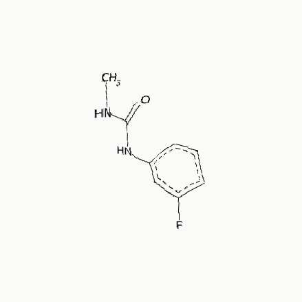 CNC(=O)Nc1cccc(F)c1